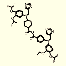 CCOc1cc(N(Cc2cocn2)c2ccc(C(=O)OC(=O)C3CCC(N(Cc4cncs4)c4ccc(OC(F)F)c(OC(F)F)c4)CC3)cc2)ccc1OC(F)F